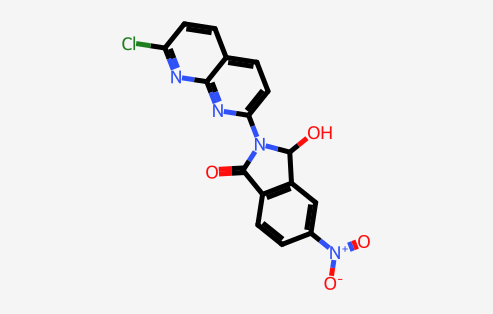 O=C1c2ccc([N+](=O)[O-])cc2C(O)N1c1ccc2ccc(Cl)nc2n1